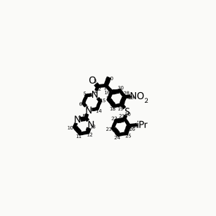 C=C(C(=O)N1CCN(c2ncccn2)CC1)c1ccc(Sc2ccccc2C(C)C)c([N+](=O)[O-])c1